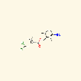 Cc1ccc(N)c(C)c1COC(=O)[C@@H]1[C@H](C=C(Cl)Cl)C1(C)C